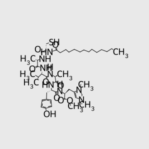 CCCCCCCCCCCCCC(=O)N[C@@H](CS)C(=O)N[C@@H](C)C(=O)N[C@H](C(=O)N[C@@H](C)C(=O)N[C@@H](Cc1ccc(O)cc1)C(=O)N[C@@H](CC1=CN(C)CN1C)C(=O)OC)C(C)C